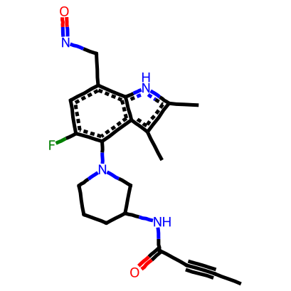 CC#CC(=O)NC1CCCN(c2c(F)cc(CN=O)c3[nH]c(C)c(C)c23)C1